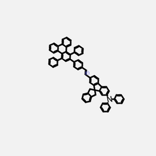 C(=C\c1ccc2c(c1)C1(Cc3ccccc3C1)c1cc(N(c3ccccc3)c3ccccc3)ccc1-2)/c1ccc(-c2cc(-c3ccccc3)c3c4ccccc4c4ccccc4c3c2-c2ccccc2)cc1